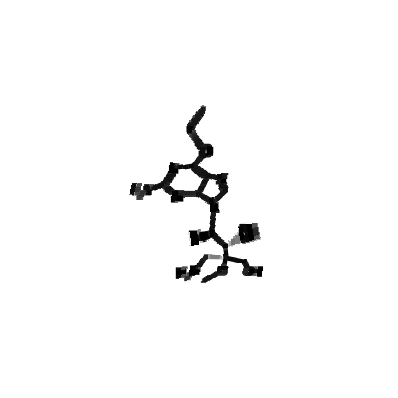 CCOc1nc(N)nc2c1ncn2[C@H](F)[C@H](O)[C@@](CN)(CO)OC